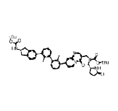 Cc1c(-c2ccc3c(c2)CC(NC(=O)OC(C)(C)C)C3)cccc1-c1cccc(-c2ccn3c(=O)c(CN(C[C@@H]4CCC(=O)N4)C(=O)OC(C)(C)C)cnc3c2)c1C